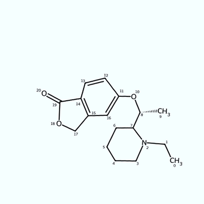 CCN1CCCCC1[C@@H](C)Oc1ccc2c(c1)COC2=O